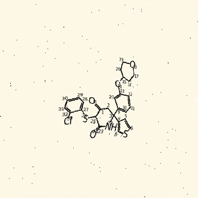 O=C1CC(c2ccsc2)(c2cccc(OC3CCOCC3)c2)NC(=O)C1Sc1ccccc1Cl